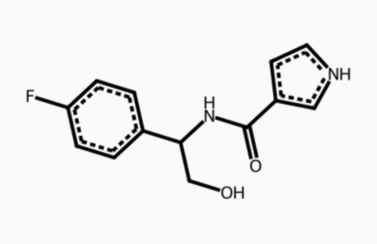 O=C(NC(CO)c1ccc(F)cc1)c1cc[nH]c1